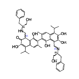 Cc1cc2c(c(O)c1-c1c(C)cc3c(C(C)C)c(O)c(O)c(/C=N/[C@H](CO)Cc4ccccc4)c3c1O)/C(=C/N[C@H](CO)Cc1ccccc1)C(=O)C(O)=C2C(C)C